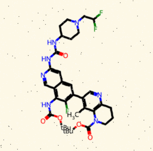 Cc1c(-c2cc3cc(NC(=O)NC4CCN(CC(F)F)CC4)ncc3c(NC(=O)OC(C)(C)C)c2F)cnc2c1N(C(=O)OC(C)(C)C)CCC2